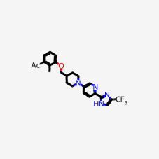 CC(=O)c1cccc(OCC2CCN(c3ccc(-c4nc(C(F)(F)F)c[nH]4)nc3)CC2)c1C